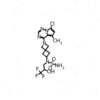 Cc1cc(Cl)n2ncnc(N3CC4(CC(N(CC(O)C(F)(F)F)S(N)(=O)=O)C4)C3)c12